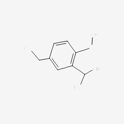 CCc1ccc(OC)c(C(C)C)c1